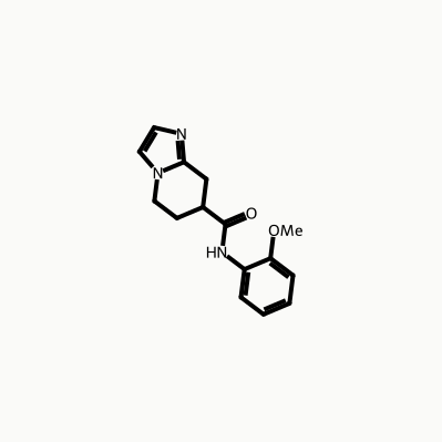 COc1ccccc1NC(=O)C1CCn2ccnc2C1